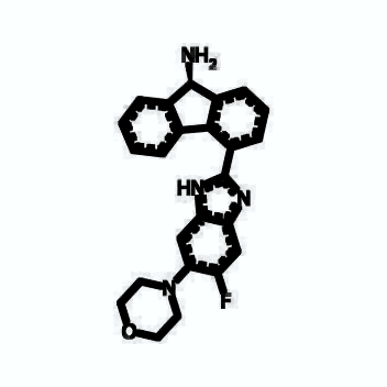 N[C@@H]1c2ccccc2-c2c(-c3nc4cc(F)c(N5CCOCC5)cc4[nH]3)cccc21